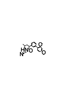 COc1ccc(-c2cccc(C(CC(C)C)C(=O)NCC#N)c2)c(OC)c1